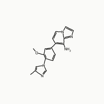 COc1cc(-c2ccn3ccnc3c2N)ccc1-n1cnc(C)c1